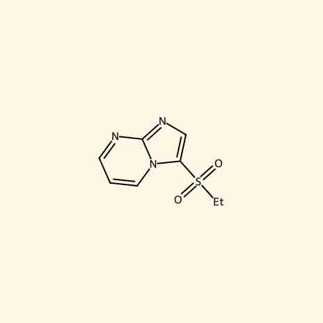 CCS(=O)(=O)c1cnc2ncccn12